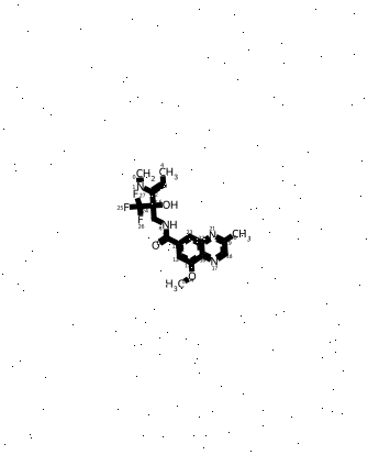 C=N/C(=C\C)C(O)(CNC(=O)c1cc(OC)c2ncc(C)nc2c1)C(F)(F)F